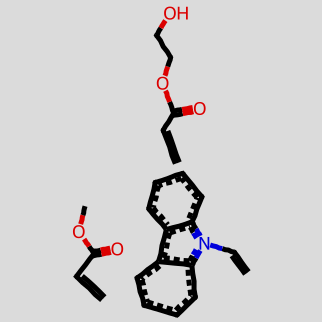 C=CC(=O)OC.C=CC(=O)OCCO.C=Cn1c2ccccc2c2ccccc21